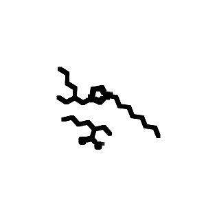 CCCCC(CC)C(=O)[O-].CCCCCCCC[n+]1ccn(CC(CC)CCCC)c1